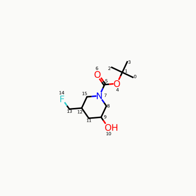 CC(C)(C)OC(=O)N1CC(O)CC(CF)C1